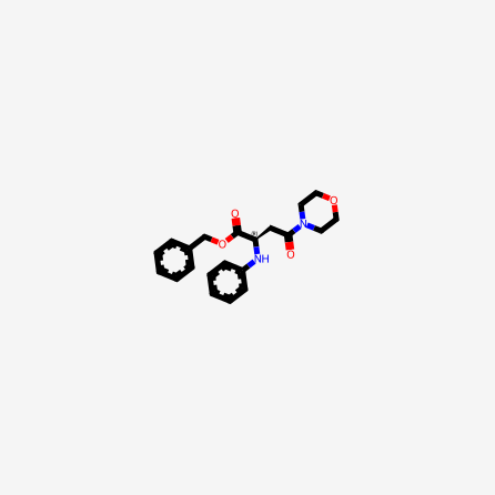 O=C(OCc1ccccc1)[C@@H](CC(=O)N1CCOCC1)Nc1ccccc1